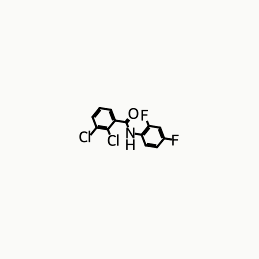 O=C(Nc1ccc(F)cc1F)c1cccc(Cl)c1Cl